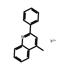 Cc1cc(-c2ccccc2)nc2ccccc12.[Ir+3]